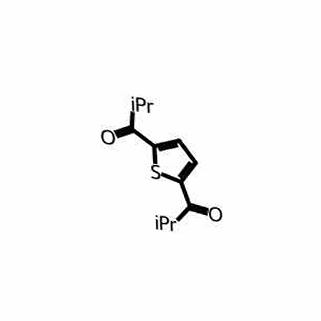 CC(C)C(=O)c1ccc(C(=O)C(C)C)s1